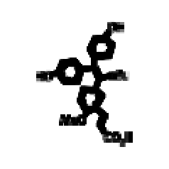 CCCCC(=C(c1ccc(O)cc1)c1ccc(O)cc1)c1ccc(OC)c(/C=C/C(=O)O)c1